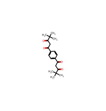 CC(C)(C)C(=O)CC(=O)c1ccc(C(=O)CC(=O)C(C)(C)C)cc1